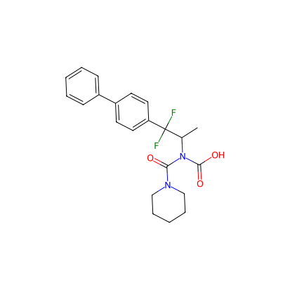 CC(N(C(=O)O)C(=O)N1CCCCC1)C(F)(F)c1ccc(-c2ccccc2)cc1